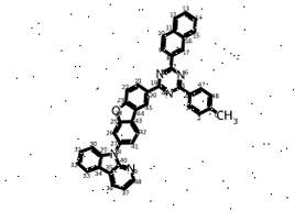 Cc1ccc(-c2nc(-c3ccc4ccccc4c3)nc(-c3ccc4oc5cc(-n6c7ccccc7c7cccnc76)ccc5c4c3)n2)cc1